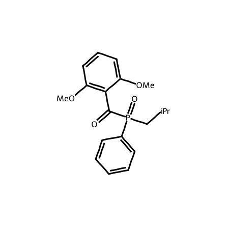 COc1cccc(OC)c1C(=O)P(=O)(CC(C)C)c1ccccc1